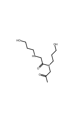 CC(=O)CN(CCCO)C(=O)CNCCCO